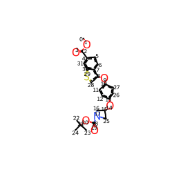 COC(=O)c1ccc2c(Oc3ccc(OC4CN(C(=O)OC(C)(C)C)C4)cc3)csc2c1